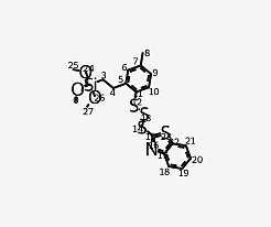 CO[Si](CCc1cc(C)ccc1SSSc1nc2ccccc2s1)(OC)OC